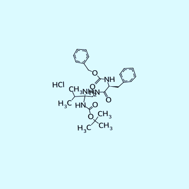 CC(C)[C@@](N)(CNC(=O)[C@H](Cc1ccccc1)NC(=O)OCc1ccccc1)NC(=O)OC(C)(C)C.Cl